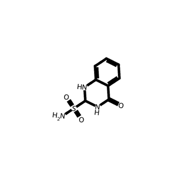 NS(=O)(=O)C1NC(=O)c2ccccc2N1